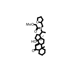 COCC(=O)N(CC1CCCO1)C(C)C1CC[C@@]2(O)C3=CC(=O)C4CCCCC4(C)C3CC[C@]12C